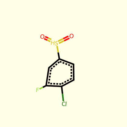 O=[SH](=O)c1ccc(Cl)c(F)c1